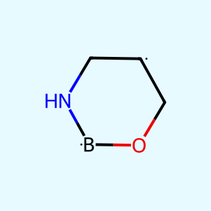 [B]1NC[CH]CO1